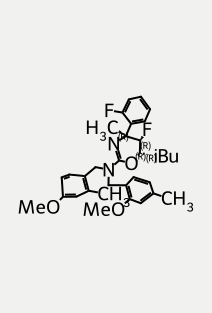 CC[C@@H](C)[C@H]1OC(N(Cc2ccc(OC)cc2C)Cc2ccc(C)cc2OC)=N[C@](C)(c2ccccc2F)[C@H]1F